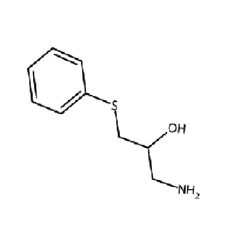 NCC(O)CSc1ccccc1